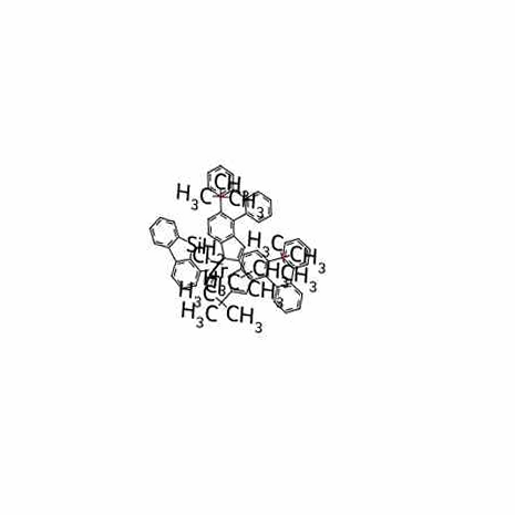 CC(C)(C)C1=Cc2c(ccc(C(C)(C)C)c2-c2ccccc2-c2ccccc2)[CH]1[Zr]([Cl])([Cl])([c]1cccc2c1[SiH2]c1ccccc1-2)[CH]1C(C(C)(C)C)=Cc2c1ccc(C(C)(C)C)c2-c1ccccc1-c1ccccc1